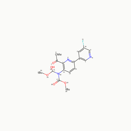 COC(=O)c1nc(-c2cncc(F)c2)ccc1N(C(=O)OC(C)(C)C)C(O)OC(C)(C)C